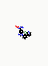 N=C(NO)c1ccc2c(c1)ncn2-c1cccc(-c2cccnc2Cl)c1